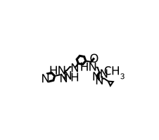 Cn1c(CNC(=O)c2cccc(NCc3nnc(-c4ccncc4)[nH]3)c2)nnc1C1CC1